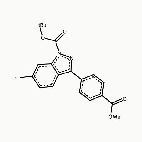 COC(=O)c1ccc(-c2nn(C(=O)OC(C)(C)C)c3cc(Cl)ccc23)cc1